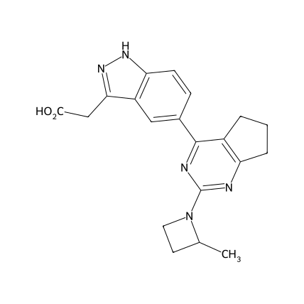 CC1CCN1c1nc2c(c(-c3ccc4[nH]nc(CC(=O)O)c4c3)n1)CCC2